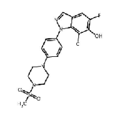 CS(=O)(=O)N1CCN(c2ccc(-n3ncc4cc(F)c(O)c(Cl)c43)cc2)CC1